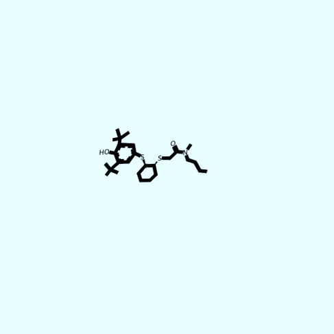 CCCCN(C)C(=O)CS[C@@H]1CCCC[C@H]1Sc1cc(C(C)(C)C)c(O)c(C(C)(C)C)c1